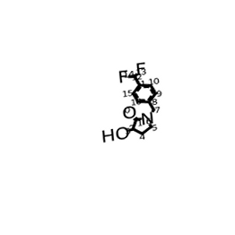 O=C1C(O)CCN1Cc1ccc(C(F)F)cc1